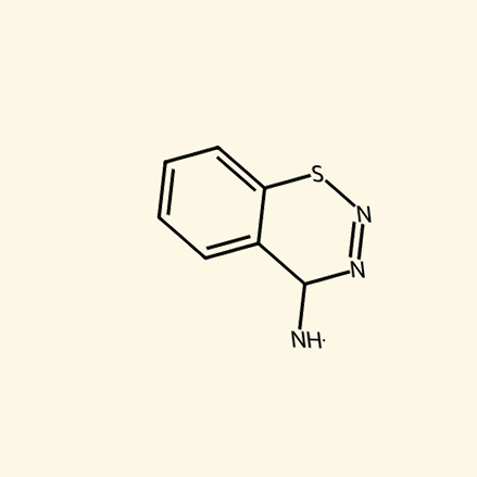 [NH]C1N=NSc2ccccc21